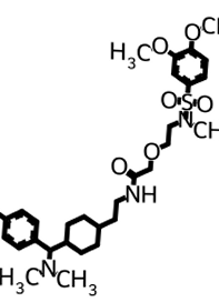 COc1ccc(S(=O)(=O)N(C)CCOCC(=O)NCCC2CCC(C(c3ccc(Cl)cc3)N(C)C)CC2)cc1OC